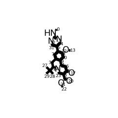 CNc1ncc(-c2cc3c(cc2OC)-c2cc(=O)c(C(=O)OC)cn2C(C(C)(C)C)C3)cn1